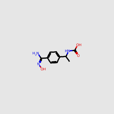 CC(NC(=O)O)c1ccc(/C(N)=N\O)cc1